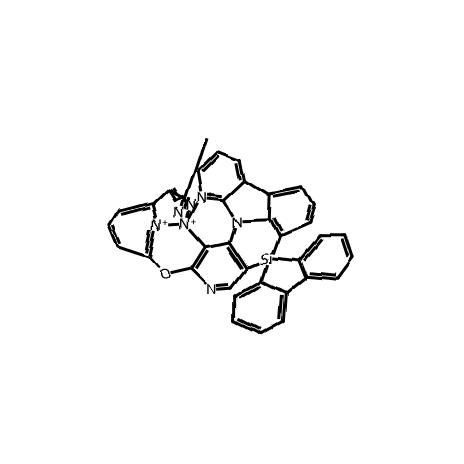 Cc1cc2n(n1)[N+]13c4c(ncc5c4-n4c6c(cccc6c6ccc[n+]1c64)[Si]51c4ccccc4-c4ccccc41)Oc1cccc-2[n+]13